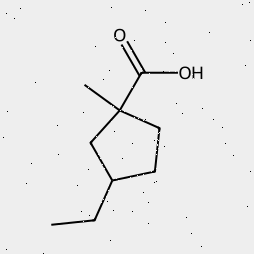 CCC1CCC(C)(C(=O)O)C1